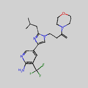 C=C(CCn1cc(-c2cnc(N)c(C(F)(F)F)c2)nc1CC(C)C)N1CCOCC1